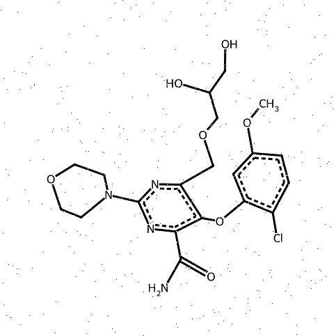 COc1ccc(Cl)c(Oc2c(COCC(O)CO)nc(N3CCOCC3)nc2C(N)=O)c1